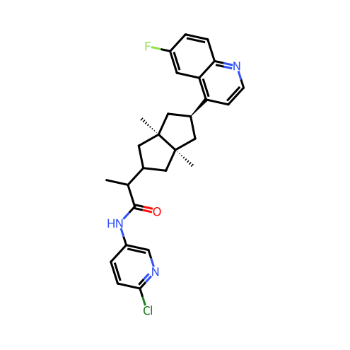 CC(C(=O)Nc1ccc(Cl)nc1)C1C[C@@]2(C)C[C@@H](c3ccnc4ccc(F)cc34)C[C@@]2(C)C1